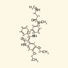 CCOc1cc2c(cc1OCC)C(=C(Nc1ccc(N(C)C(=O)CCNC)cc1)c1ccccc1)C(=O)N2